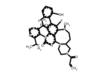 C=CC(=O)N1CCN2c3nc(=O)n(-c4c(C(C)C)ncnc4C(C)C)c4c(F)c(-c5c(O)cccc5F)c(F)c(c34)N(C)CCC2C1